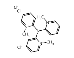 C[n+]1ccccc1N(c1cccc[n+]1C)c1cccc[n+]1C.[Cl-].[Cl-].[Cl-]